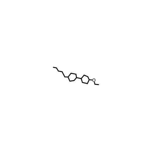 CCCCCC1CCC(C2CCC(OCC)CC2)CC1